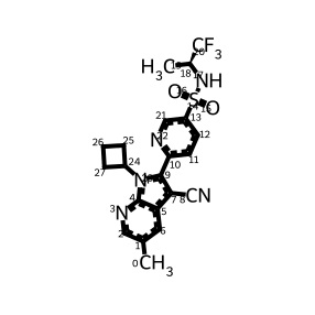 Cc1cnc2c(c1)c(C#N)c(-c1ccc(S(=O)(=O)N[C@@H](C)C(F)(F)F)cn1)n2C1CCC1